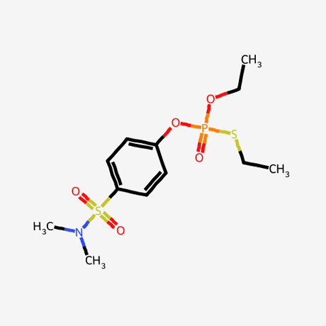 CCOP(=O)(Oc1ccc(S(=O)(=O)N(C)C)cc1)SCC